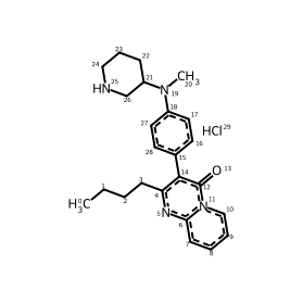 CCCCc1nc2ccccn2c(=O)c1-c1ccc(N(C)C2CCCNC2)cc1.Cl